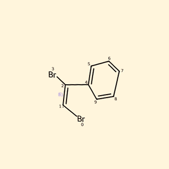 Br/[C]=C(/Br)c1ccccc1